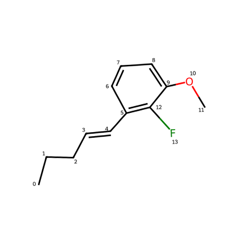 CCC/C=C/c1cccc(OC)c1F